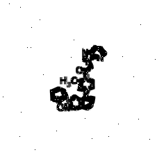 COc1ccccc1N1CCc2cccc(N3CCN(C(=O)Cn4cnc5cccnc54)[C@H](C)C3)c2C1